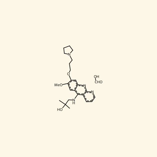 COc1cc2c(NCC(C)(C)O)c3cccnc3nc2cc1OCCCN1CCCC1.O=CO